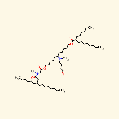 CCCCCCCCC(CCCCCC)CC(=O)N(C)CC(=O)OCCCCCC(CCCCCOC(=O)C(CCCCCC)CCCCCCCC)N(C)CCCCO